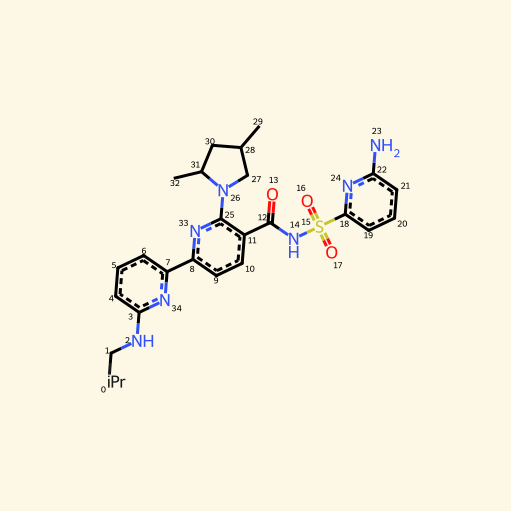 CC(C)CNc1cccc(-c2ccc(C(=O)NS(=O)(=O)c3cccc(N)n3)c(N3CC(C)CC3C)n2)n1